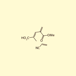 C=C(C=C(C)C(=O)O)C(=O)OC.C=CC#N